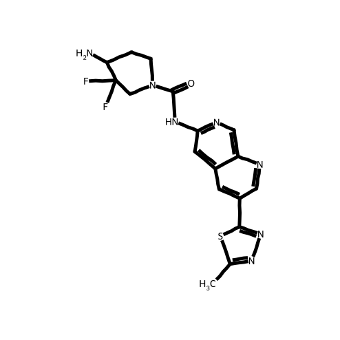 Cc1nnc(-c2cnc3cnc(NC(=O)N4CCC(N)C(F)(F)C4)cc3c2)s1